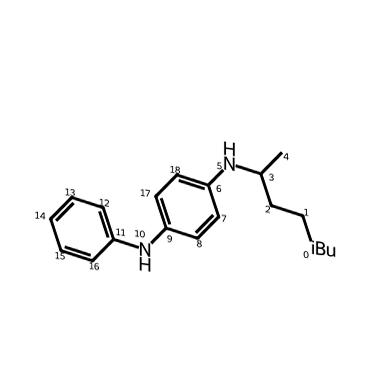 CCC(C)CCC(C)Nc1ccc(Nc2ccccc2)cc1